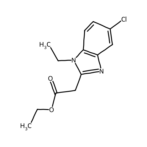 CCOC(=O)Cc1nc2cc(Cl)ccc2n1CC